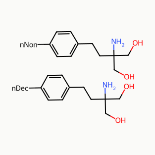 CCCCCCCCCCc1ccc(CCC(N)(CO)CO)cc1.CCCCCCCCCc1ccc(CCC(N)(CO)CO)cc1